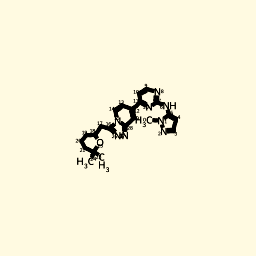 Cn1nccc1Nc1nccc(-c2ccn3c(CC4CCCC(C)(C)O4)nnc3c2)n1